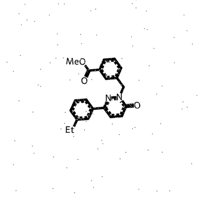 CCc1cccc(-c2ccc(=O)n(Cc3cccc(C(=O)OC)c3)n2)c1